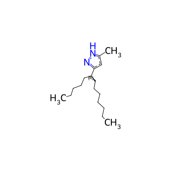 CCCCCCC[C@@H](CCCCC)c1cc(C)[nH]n1